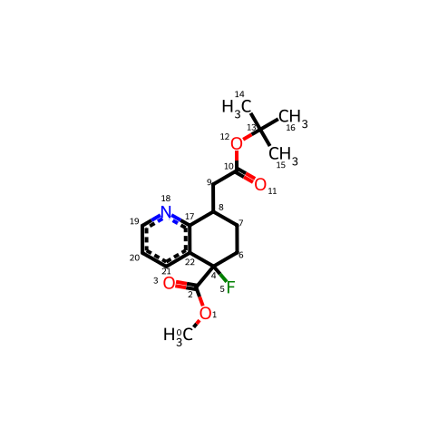 COC(=O)C1(F)CCC(CC(=O)OC(C)(C)C)c2ncccc21